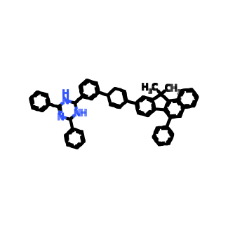 CC1(C)c2cc(C3=CCC(c4cccc(C5NC(c6ccccc6)=NC(c6ccccc6)N5)c4)C=C3)ccc2-c2c(-c3ccccc3)cc3ccccc3c21